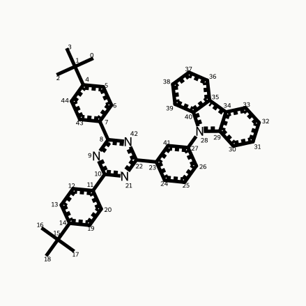 CC(C)(C)c1ccc(-c2nc(-c3ccc(C(C)(C)C)cc3)nc(-c3cccc(-n4c5ccccc5c5ccccc54)c3)n2)cc1